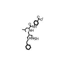 COC(=O)c1ccc(NC(=O)C(CC(C)C)NCC(CCCc2ccccc2)CNS)cc1